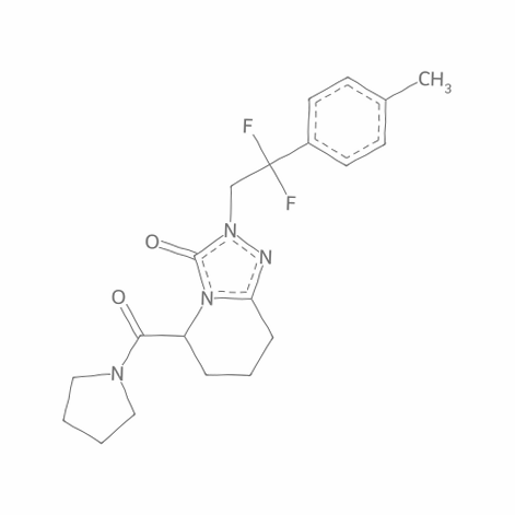 Cc1ccc(C(F)(F)Cn2nc3n(c2=O)C(C(=O)N2CCCC2)CCC3)cc1